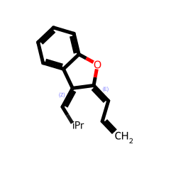 C=C/C=c1/oc2ccccc2/c1=C/C(C)C